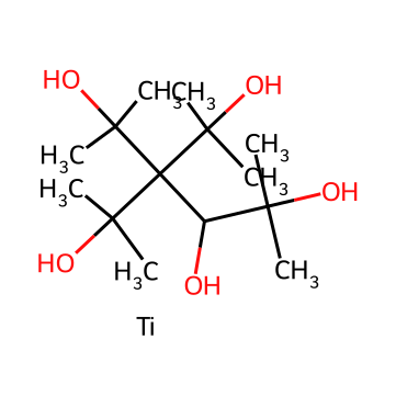 CC(C)(O)C(O)C(C(C)(C)O)(C(C)(C)O)C(C)(C)O.[Ti]